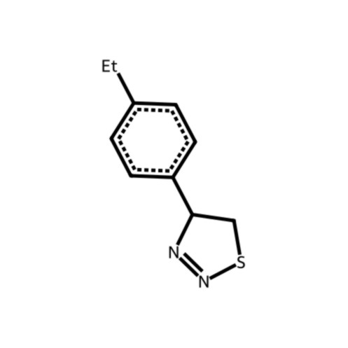 CCc1ccc(C2CSN=N2)cc1